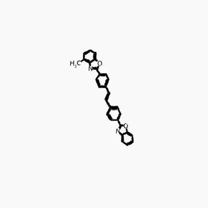 Cc1cccc2oc(-c3ccc(C=Cc4ccc(-c5nc6ccccc6o5)cc4)cc3)nc12